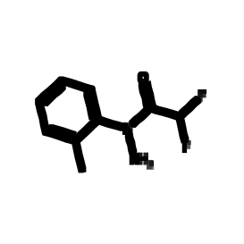 Cc1ccccc1N(N)C(=O)C(F)F